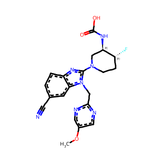 COc1cnc(Cn2c(N3CC[C@@H](F)[C@H](NC(=O)O)C3)nc3ccc(C#N)cc32)nc1